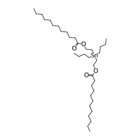 CCCCCCCCCCCC(=O)OC[CH2][Sn]([CH2]CCC)([CH2]CCC)[CH2]COC(=O)CCCCCCCCCCC